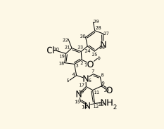 COc1c(C(C)n2ccc(=O)c3c(N)ncnc32)cc(Cl)c(C)c1-c1cncc(C)c1